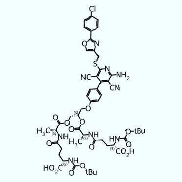 C[C@H](NC(=O)CC[C@H](NC(=O)OC(C)(C)C)C(=O)O)C(=O)OC[C@H](COc1ccc(-c2c(C#N)c(N)nc(SCc3coc(-c4ccc(Cl)cc4)n3)c2C#N)cc1)OC(=O)[C@H](C)NC(=O)CC[C@H](NC(=O)OC(C)(C)C)C(=O)O